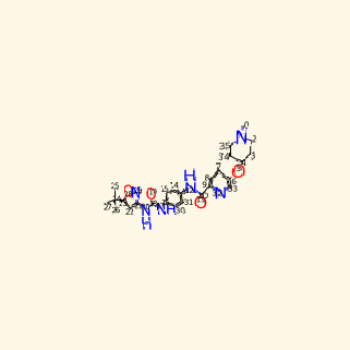 CN1CCC(Oc2ccc(C(=O)Nc3ccc(NC(=O)Nc4cc(C(C)(C)C)on4)cc3)nc2)CC1